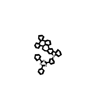 c1ccc(-c2nc(-c3ccccc3)nc(-c3cccc(-n4c5ccccc5c5cc6c(cc54)CCC4c5ccccc5-c5ccccc5-c5cccc-6c54)c3)n2)cc1